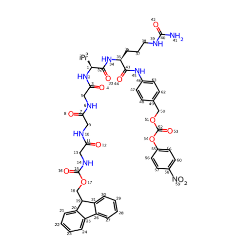 CC(C)[C@H](NC(=O)CNC(=O)CNC(=O)CNC(=O)OCC1c2ccccc2-c2ccccc21)C(=O)N[C@@H](CCCNC(N)=O)C(=O)Nc1ccc(COC(=O)Oc2ccc([N+](=O)[O-])cc2)cc1